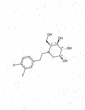 OC[C@H]1[C@@H](O)[C@H](O)[C@@H](O)CN1CCc1ccc(F)c(F)c1